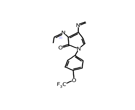 C=Nc1ccn(-c2ccc(OC(F)(F)F)cc2)c(=O)c1/N=C\C